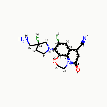 N#Cc1cc(=O)n2c3c(c(N4CCC(F)(CN)C4)c(F)cc13)OCC2